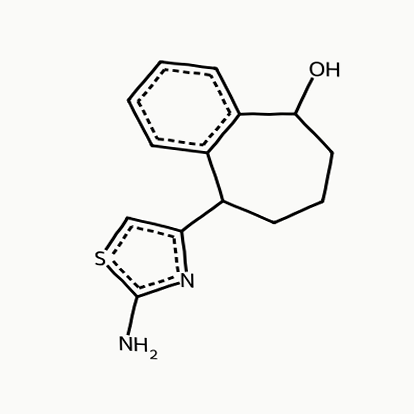 Nc1nc(C2CCCC(O)c3ccccc32)cs1